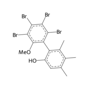 COc1c(Br)c(Br)c(Br)c(Br)c1-c1c(O)cc(C)c(C)c1C